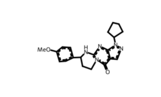 COc1ccc(C2CCn3c(nc4c(cnn4C4CCCC4)c3=O)N2)cc1